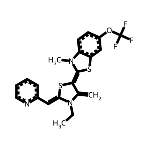 C=C1/C(=C2\Sc3cc(OC(F)(F)F)ccc3N2C)S/C(=C\c2ccccn2)N1CC